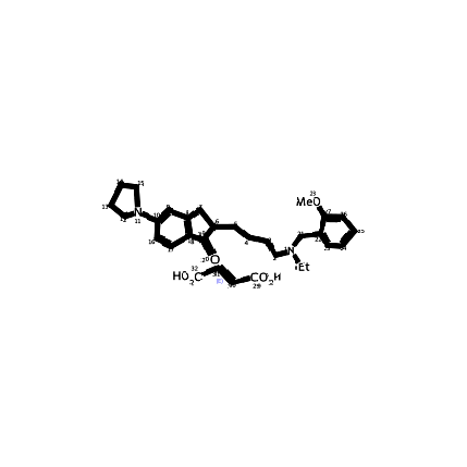 CCN(CCCCC1Cc2cc(N3CCCC3)ccc2C1=O)Cc1ccccc1OC.O=C(O)/C=C/C(=O)O